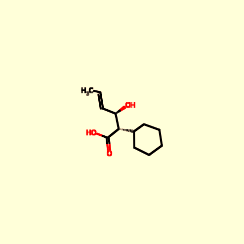 C/C=C/[C@@H](O)[C@@H](C(=O)O)C1CCCCC1